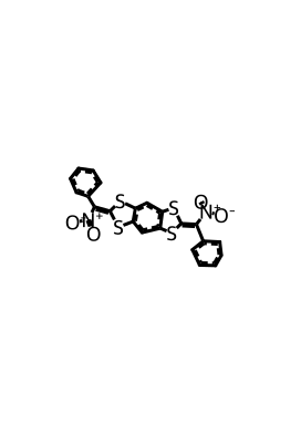 O=[N+]([O-])C(=C1Sc2cc3c(cc2S1)SC(=C(c1ccccc1)[N+](=O)[O-])S3)c1ccccc1